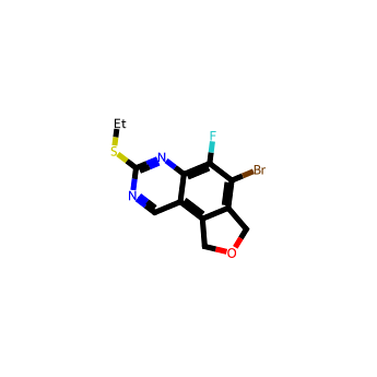 CCSc1ncc2c3c(c(Br)c(F)c2n1)COC3